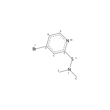 CN(C)Sc1cc(Br)ccn1